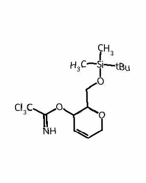 CC(C)(C)[Si](C)(C)OCC1OCC=CC1OC(=N)C(Cl)(Cl)Cl